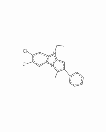 CCn1c2cc(Cl)c(Cl)cc2n2c(C)c(-c3ccccc3)cc12